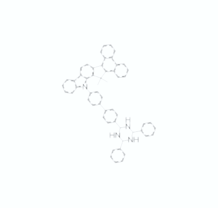 CC1(C)c2c(c3ccccc3c3ccccc23)-c2ccc3c4ccccc4n(-c4ccc(-c5ccc(C6NC(c7ccccc7)NC(c7ccccc7)N6)cc5)cc4)c3c21